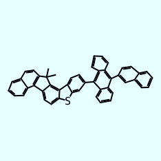 CC1(C)c2ccc3ccccc3c2-c2ccc3sc4cc(-c5c6ccccc6c(-c6ccc7ccccc7c6)c6ccccc56)ccc4c3c21